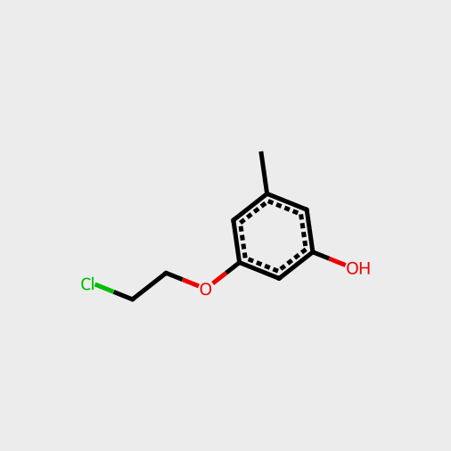 Cc1cc(O)cc(OCCCl)c1